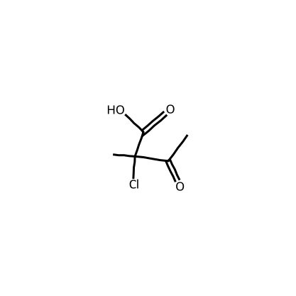 CC(=O)C(C)(Cl)C(=O)O